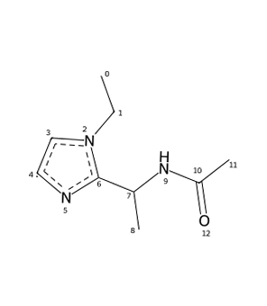 CCn1c[c]nc1C(C)NC(C)=O